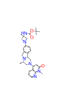 C[C@@H]1CN(c2cc(=O)n(C)c3ncccc23)CC2c3ccc(N4CC(C)(NC(=O)OC(C)(C)C)C4)cc3CN21